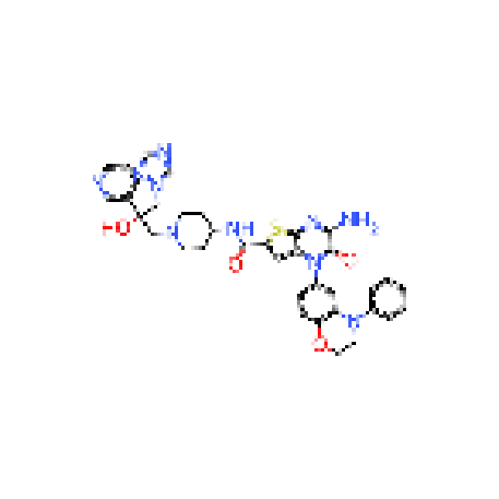 Nc1nc2sc(C(=O)NC3CCN(CC(O)(Cn4cncn4)c4cccnc4)CC3)cc2n(-c2ccc3c(c2)N(c2ccccc2)CCO3)c1=O